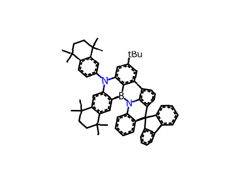 CC(C)(C)c1cc2c3c(c1)N(c1ccc4c(c1)C(C)(C)CCC4(C)C)c1cc4c(cc1B3N1c3ccccc3C3(c5ccccc5-c5ccccc53)c3cccc-2c31)C(C)(C)CCC4(C)C